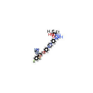 CC[C@H](NC(=O)N(C=N)c1ccc(N2CCN(c3ccc(OC[C@@H]4CO[C@@](Cn5cnnc5)(c5ccc(F)cc5F)C4)cc3)CC2)cc1)[C@H](C)O